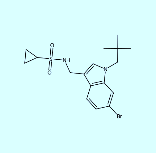 CC(C)(C)Cn1cc(CNS(=O)(=O)C2CC2)c2ccc(Br)cc21